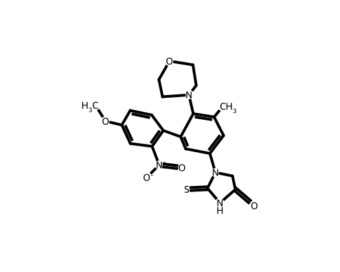 COc1ccc(-c2cc(N3CC(=O)NC3=S)cc(C)c2N2CCOCC2)c([N+](=O)[O-])c1